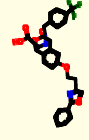 O=C1OC2c3ccc(OCCc4coc(-c5ccccc5)n4)cc3C1N(Cc1ccc(C(F)(F)F)cc1)C2C(=O)O